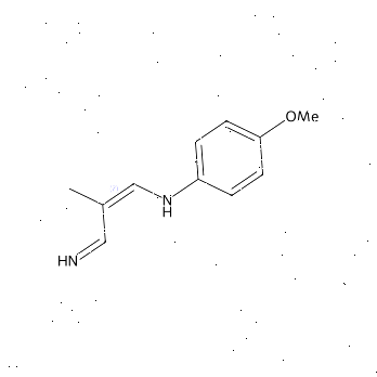 COc1ccc(N/C=C(/C)C=N)cc1